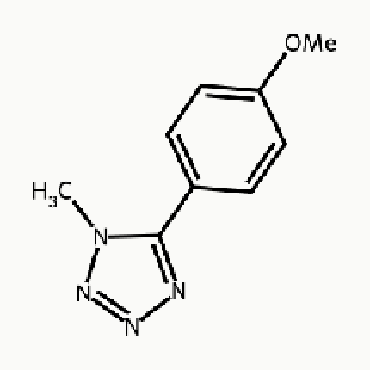 COc1ccc(-c2nnnn2C)cc1